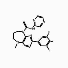 C=C(Nc1cnccn1)N1CCCN(C)c2ccc(-c3cc(F)c(F)c(F)c3)nc21